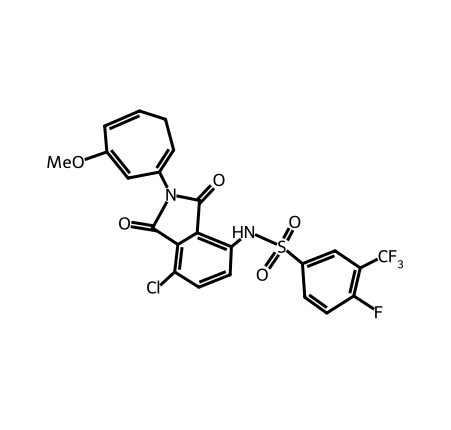 COC1=CC(N2C(=O)c3c(Cl)ccc(NS(=O)(=O)c4ccc(F)c(C(F)(F)F)c4)c3C2=O)=CCC=C1